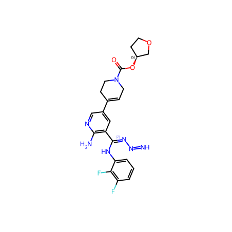 N=N/N=C(\Nc1cccc(F)c1F)c1cc(C2=CCN(C(=O)O[C@H]3CCOC3)CC2)cnc1N